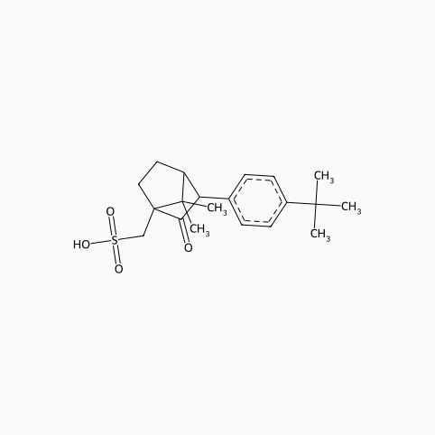 CC(C)(C)c1ccc(C2C(=O)C3(CS(=O)(=O)O)CCC2C3(C)C)cc1